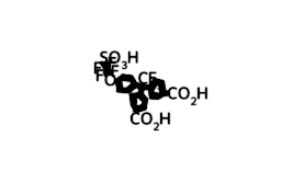 O=C(O)c1ccc(C(c2ccc(OC(F)(F)C(F)(F)S(=O)(=O)O)cc2)(c2ccc(C(=O)O)cc2)C(F)(F)F)cc1